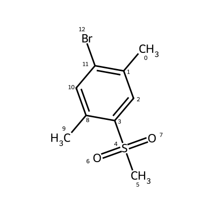 Cc1cc(S(C)(=O)=O)c(C)cc1Br